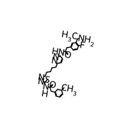 CC1C=CC=C(CC(=O)Nc2nnc(CCCCc3ccc(NC(=O)Cc4ccc(F)c(C(C)N)c4)nn3)s2)C1